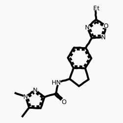 CCc1nc(-c2ccc3c(c2)CCC3NC(=O)c2cc(C)n(C)n2)no1